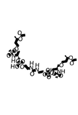 CC(=O)O[C@H](C)CCOC[C@H](COP(=O)(O)OCCNC(=O)NCCOP(=O)(O)OC[C@@H](COCC[C@@H](C)OC(C)=O)NS(C)(=O)=O)NS(C)(=O)=O